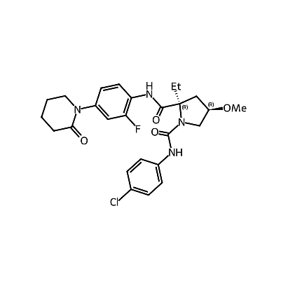 CC[C@]1(C(=O)Nc2ccc(N3CCCCC3=O)cc2F)C[C@@H](OC)CN1C(=O)Nc1ccc(Cl)cc1